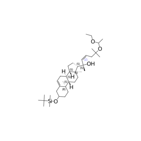 CCOC(C)OC(C)(C)C/C=C\[C@](C)(O)[C@H]1CC[C@H]2[C@@H]3CC=C4CC(O[Si](C)(C)C(C)(C)C)CC[C@]4(C)[C@H]3CC[C@@]21C